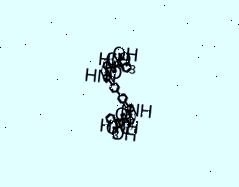 C[C@H]1CC[C@@H](c2nc(-c3ccc(-c4ccc(-c5c[nH]c([C@@H]6CC[C@H](C)N6C(=O)[C@H](NC(=O)O)c6ccccc6)n5)cc4)cc3)c[nH]2)N1C(=O)[C@H](NC(=O)O)c1ccccc1